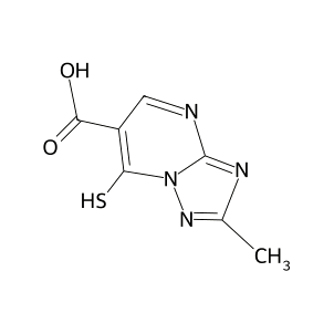 Cc1nc2ncc(C(=O)O)c(S)n2n1